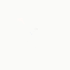 CCOC(=O)N1C2CC(O)CC1[C@H]1CC21